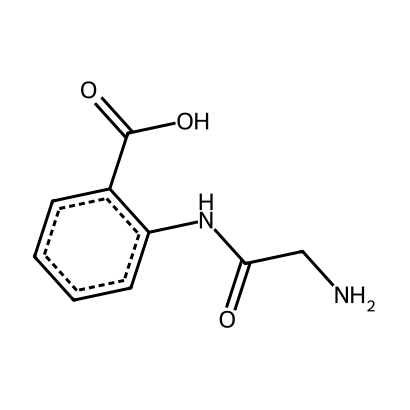 NCC(=O)Nc1ccccc1C(=O)O